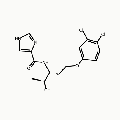 C[C@H](O)[C@@H](CCOc1ccc(Cl)c(Cl)c1)NC(=O)c1c[nH]cn1